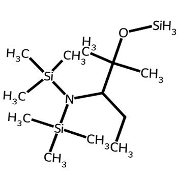 CCC(N([Si](C)(C)C)[Si](C)(C)C)C(C)(C)O[SiH3]